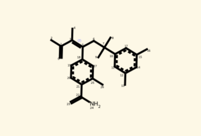 C=C(C)/C(C)=C(/CC(C)(C)c1cc(C)cc(C)c1)c1ccc(C(=C)N)c(C)c1